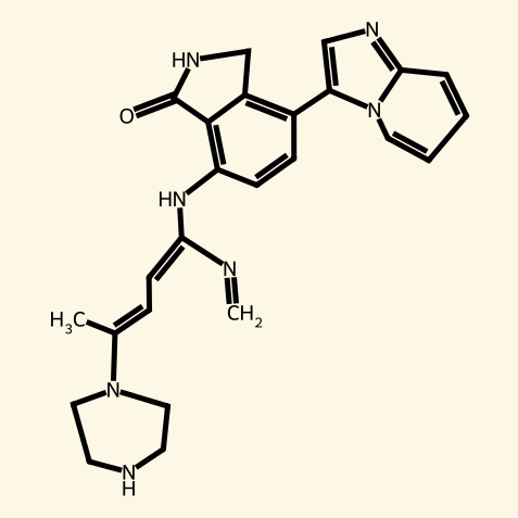 C=N/C(=C\C=C(/C)N1CCNCC1)Nc1ccc(-c2cnc3ccccn23)c2c1C(=O)NC2